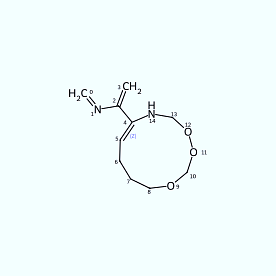 C=NC(=C)/C1=C/CCCOCOOCN1